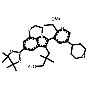 CO[C@@H](C)c1ncc(C2CCOCC2)cc1-c1c(CC(C)(C)COC(C)=O)c2cc(B3OC(C)(C)C(C)(C)O3)cc3c2n1CCO3